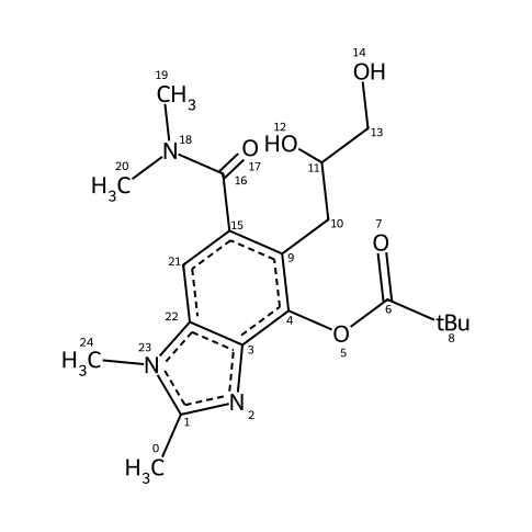 Cc1nc2c(OC(=O)C(C)(C)C)c(CC(O)CO)c(C(=O)N(C)C)cc2n1C